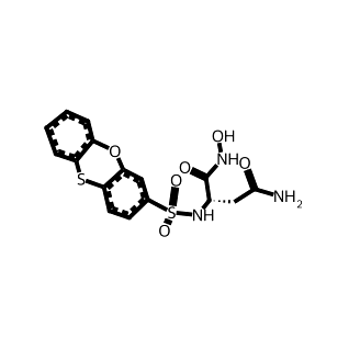 NC(=O)C[C@H](NS(=O)(=O)c1ccc2c(c1)Oc1ccccc1S2)C(=O)NO